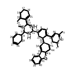 CC1=NC(C)CC(C2=CC=C(C3NC(C4=CCCCC4C)N(C)C(C4C=CC=CC4)N3)CC2C2C=C3c4ccccc4SC3CC2)=C1